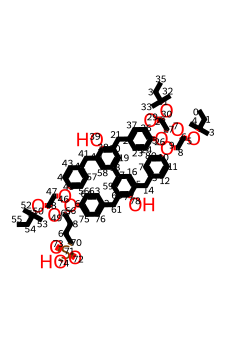 CCC(C)(C)OC(=O)COc1ccc(Cc2cc(-c3cc(Cc4ccc(OCC(=O)OC(C)(C)CC)cc4)c(O)c(Cc4ccc(OCC(=O)OC(C)(C)CC)cc4)c3)cc(Cc3ccc(OCCCCS(=O)(=O)O)cc3)c2O)cc1